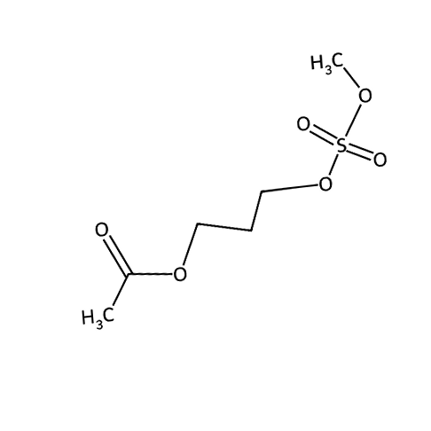 COS(=O)(=O)OCCCOC(C)=O